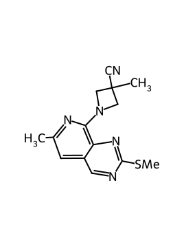 CSc1ncc2cc(C)nc(N3CC(C)(C#N)C3)c2n1